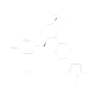 Cc1cc(C2CCC(N3C[C@H](S(C)(=O)=O)CC[C@@H]3Cc3ccc(Cl)cc3)CC2)nn1C.Cl